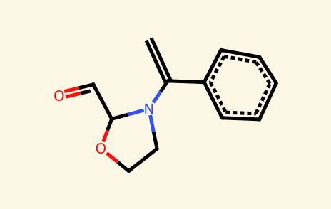 C=C(c1ccccc1)N1CCOC1C=O